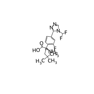 CC(C)(C)C[C@](N)(C(=O)O)c1ccc(-c2nncn2C(F)F)cc1F